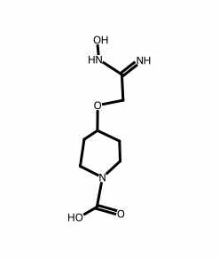 N=C(COC1CCN(C(=O)O)CC1)NO